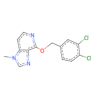 Cn1cnc2c(OCc3ccc(Cl)c(Cl)c3)nccc21